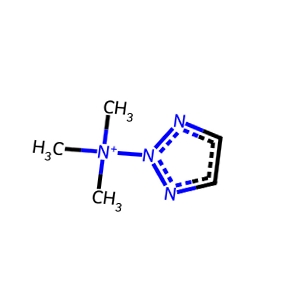 C[N+](C)(C)n1nccn1